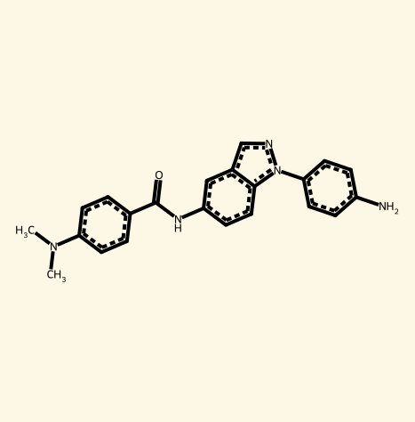 CN(C)c1ccc(C(=O)Nc2ccc3c(cnn3-c3ccc(N)cc3)c2)cc1